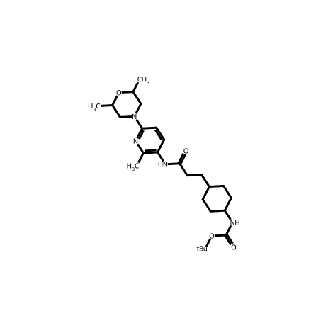 Cc1nc(N2CC(C)OC(C)C2)ccc1NC(=O)CCC1CCC(NC(=O)OC(C)(C)C)CC1